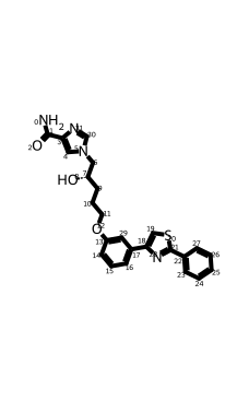 NC(=O)c1cn(C[C@@H](O)CCCOc2cccc(-c3csc(-c4ccccc4)n3)c2)cn1